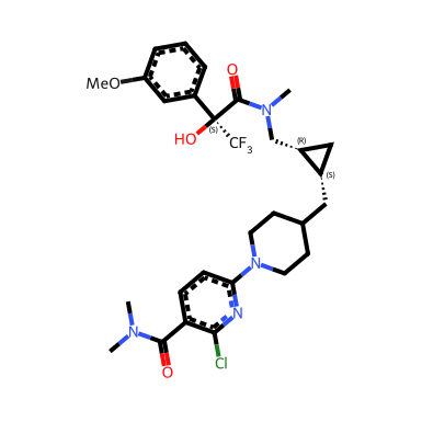 COc1cccc([C@](O)(C(=O)N(C)C[C@@H]2C[C@@H]2CC2CCN(c3ccc(C(=O)N(C)C)c(Cl)n3)CC2)C(F)(F)F)c1